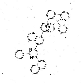 c1ccc(-c2nc(-c3cccc4ccccc34)cc(-c3ccc(-c4ccc(-c5cccc6c5C(c5ccccc5)(c5ccccc5)c5ccccc5-6)cc4)c4ccccc34)n2)cc1